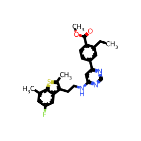 CCc1cc(-c2cc(NCCc3c(C)sc4c(C)cc(F)cc34)ncn2)ccc1C(=O)OC